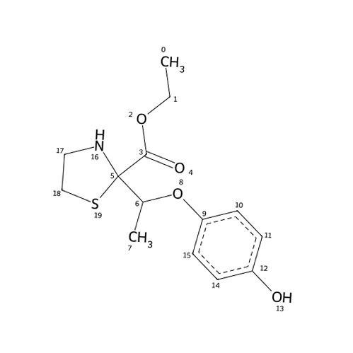 CCOC(=O)C1(C(C)Oc2ccc(O)cc2)NCCS1